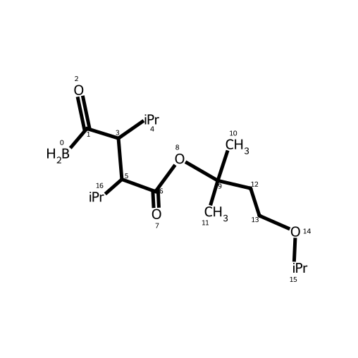 BC(=O)C(C(C)C)C(C(=O)OC(C)(C)CCOC(C)C)C(C)C